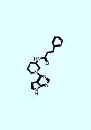 O=C(CCc1ccccc1)NC1CCCN(c2ncnc3[nH]ccc23)C1